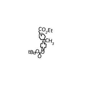 CCOC(=O)CN1CCC(C)(N2CCN(OC(=O)OC(C)(C)C)CC2)CC1